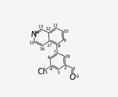 O=Cc1cc(Cl)cc(-c2cccc3cnccc23)c1